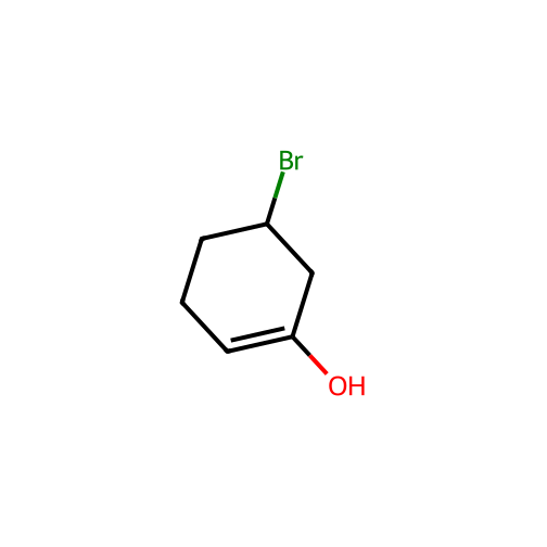 OC1=CCCC(Br)C1